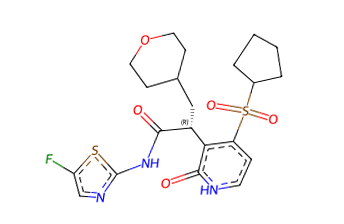 O=C(Nc1ncc(F)s1)[C@H](CC1CCOCC1)c1c(S(=O)(=O)C2CCCC2)cc[nH]c1=O